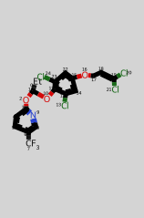 CCC(Oc1ccc(C(F)(F)F)cn1)Oc1c(Cl)cc(OCC=C(Cl)Cl)cc1Cl